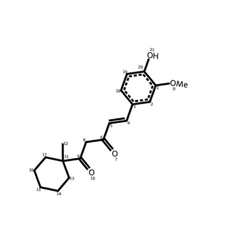 COc1cc(C=CC(=O)CC(=O)C2(C)CCCCC2)ccc1O